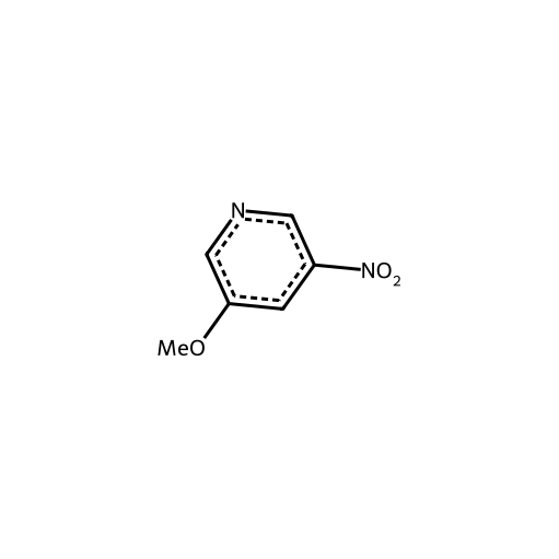 COc1cncc([N+](=O)[O-])c1